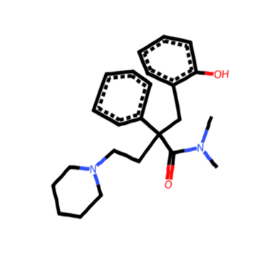 CN(C)C(=O)C(CCN1CCCCC1)(Cc1ccccc1O)c1ccccc1